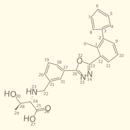 Cc1c(-c2ccccc2)cccc1-c1nnc(-c2cccc(CN[C@H](C(=O)O)[C@@H](C)O)c2)o1